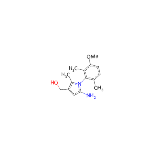 COc1ccc(C)c(-n2c(N)cc(CO)c2C)c1C